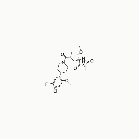 COC[C@]1(CC(C)C(=O)N2CCC(c3cc(F)c(Cl)cc3OC)CC2)NC(=O)NC1=O